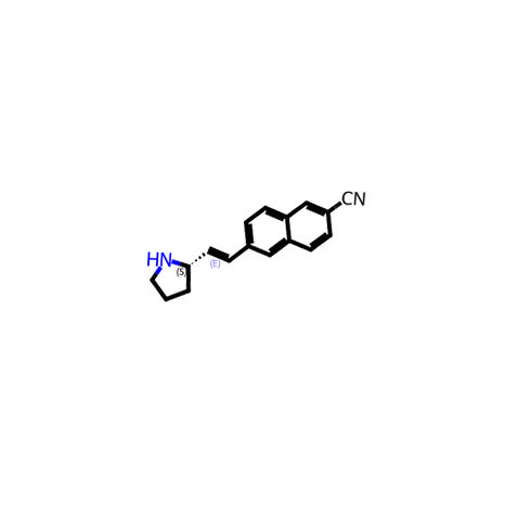 N#Cc1ccc2cc(/C=C/[C@@H]3CCCN3)ccc2c1